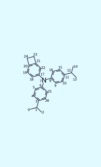 CC(C)c1ccc(N(c2ccc(C(C)C)cc2)c2ccc3c(c2)CC3)cc1